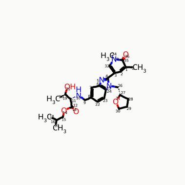 Cc1cc(-c2nc3cc(CN[C@H](C(=O)OCC(C)C)[C@@H](C)O)ccc3n2C[C@@H]2CCCO2)cn(C)c1=O